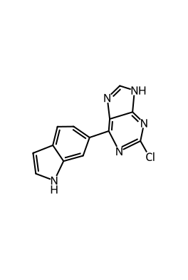 Clc1nc(-c2ccc3cc[nH]c3c2)c2nc[nH]c2n1